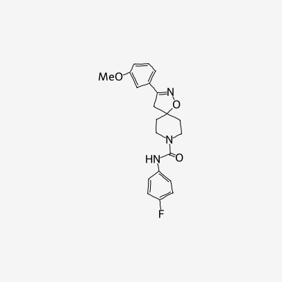 COc1cccc(C2=NOC3(CCN(C(=O)Nc4ccc(F)cc4)CC3)C2)c1